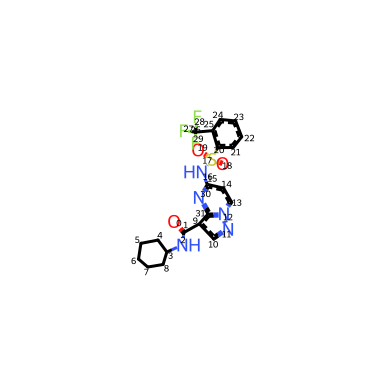 O=C(NC1CCCCC1)c1cnn2ccc(NS(=O)(=O)c3ccccc3C(F)(F)F)nc12